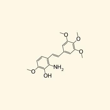 COc1ccc(C=Cc2cc(OC)c(OC)c(OC)c2)c(N)c1O